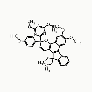 CCC1(CC)c2ccccc2-c2c1c1c(c3cc(OC)c(OC)cc23)OC(c2ccc(OC)cc2)(c2nc(OC)nc(OC)n2)C=C1